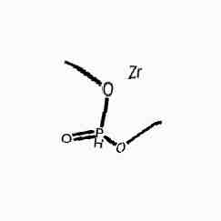 CO[PH](=O)OC.[Zr]